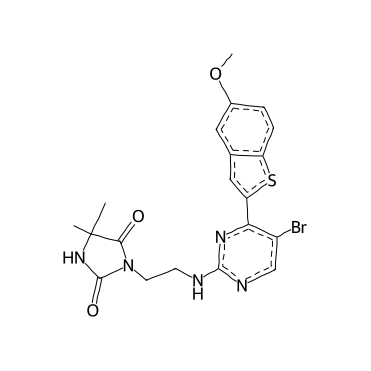 COc1ccc2sc(-c3nc(NCCN4C(=O)NC(C)(C)C4=O)ncc3Br)cc2c1